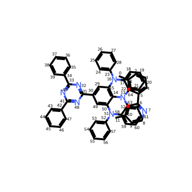 Cc1cccc2c3nccc(C)c3n(-c3c(N(c4ccccc4)c4ccccc4)cc(-c4nc(-c5ccccc5)nc(-c5ccccc5)n4)cc3N(c3ccccc3)c3ccccc3)c12